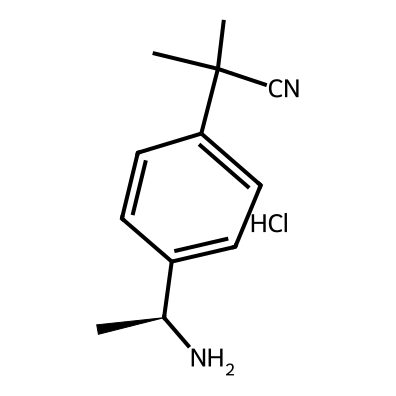 C[C@H](N)c1ccc(C(C)(C)C#N)cc1.Cl